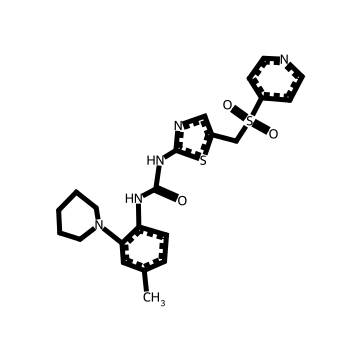 Cc1ccc(NC(=O)Nc2ncc(CS(=O)(=O)c3ccncc3)s2)c(N2CCCCC2)c1